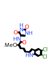 COC(=CC=Cc1cc2cc(Cl)c(Cl)cc2[nH]1)C(=O)Nc1c[nH]c(=O)[nH]c1=O